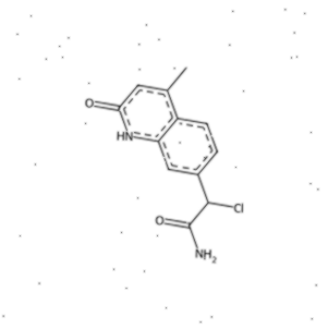 Cc1cc(=O)[nH]c2cc(C(Cl)C(N)=O)ccc12